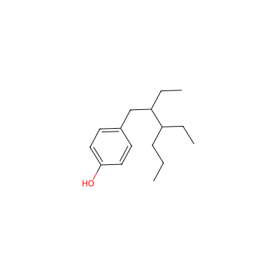 CCCC(CC)C(CC)Cc1ccc(O)cc1